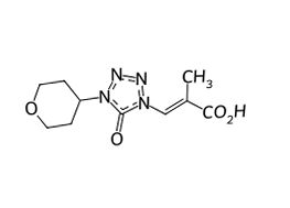 C/C(=C\n1nnn(C2CCOCC2)c1=O)C(=O)O